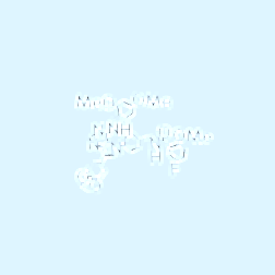 COc1ccc(CNc2ncnc3c(C4CCC5(CC4)OCCO5)cn(-c4ccc(CNC(=O)c5cc(F)ccc5OC)cc4)c23)c(OC)c1